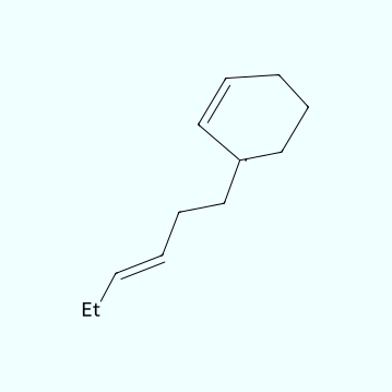 CCC=CCC[C]1C=CCCC1